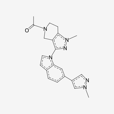 CC(=O)N1CCc2c(c(-n3ccc4ccc(-c5cnn(C)c5)cc43)nn2C)C1